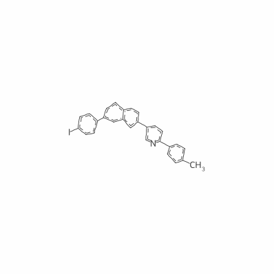 Cc1ccc(-c2ccc(-c3ccc4ccc(-c5ccc(I)cc5)cc4c3)cn2)cc1